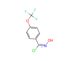 O/N=C(/Cl)c1ccc(OC(F)(F)F)cc1